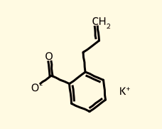 C=CCc1ccccc1C(=O)[O-].[K+]